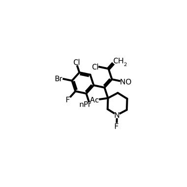 C=C(Cl)/C(N=O)=C(\c1cc(Cl)c(Br)c(F)c1CCC)C1(C(C)=O)CCCN(F)C1